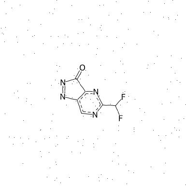 O=C1N=Nc2cnc(C(F)F)nc21